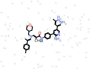 C/C(N)=C/C(=C\N)c1cnc(N)c(-c2ccc(NC(=O)/C(C=O)=C/N(/C=C(\C)c3ccc(C)cc3)CC3CCOCC3)cc2)c1